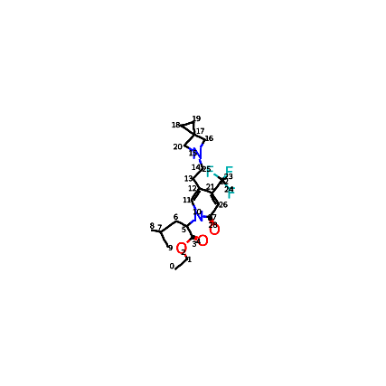 CCOC(=O)C(CC(C)C)n1cc(CCN2CC3(CC3)C2)c(C(F)(F)F)cc1=O